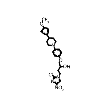 O=[N+]([O-])c1cn(CCC(O)COc2ccc(N3CCC(c4ccc(OC(F)(F)F)cc4)CC3)cc2)c(Cl)n1